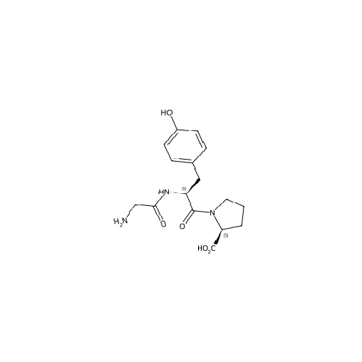 NCC(=O)N[C@@H](Cc1ccc(O)cc1)C(=O)N1CCC[C@H]1C(=O)O